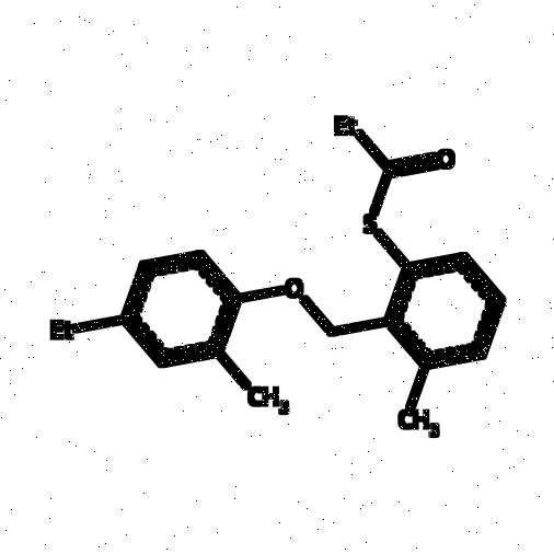 CCC(=O)Sc1cccc(C)c1COc1ccc(CC)cc1C